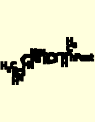 CCCCCC(C)NCc1ccnc(Nc2nc3ccc(-c4cn[nH]c4C)nc3s2)c1